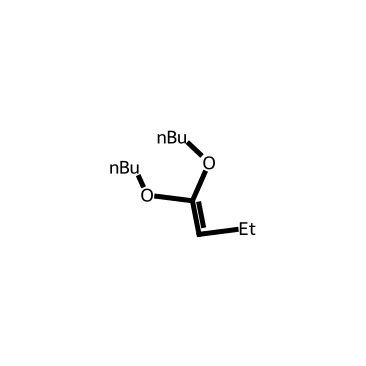 CCC=C(OCCCC)OCCCC